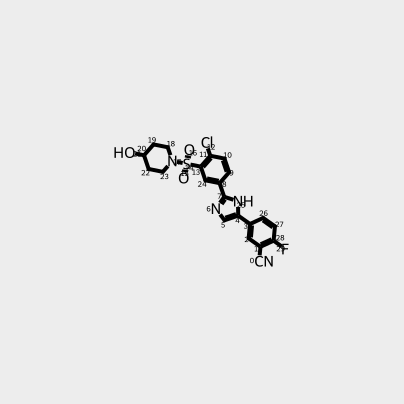 N#Cc1cc(-c2cnc(-c3ccc(Cl)c(S(=O)(=O)N4CCC(O)CC4)c3)[nH]2)ccc1F